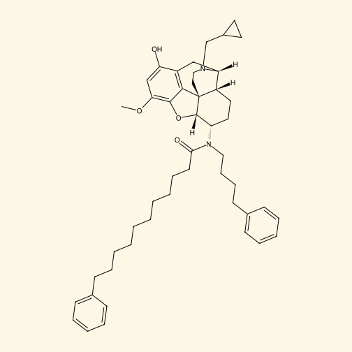 COc1cc(O)c2c3c1O[C@H]1[C@@H](N(CCCCc4ccccc4)C(=O)CCCCCCCCCCc4ccccc4)CC[C@H]4[C@@H](C2)N(CC2CC2)CC[C@@]341